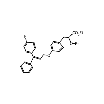 CCOC(=O)[C@H](Cc1ccc(OC/C=C(/c2ccccc2)c2ccc(F)cc2)cc1)OCC